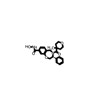 CC1(C(=O)N2Cc3ccc(C(=O)NO)cc3OC[C@@H]2c2ccccc2)CCOCC1